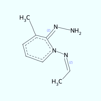 C/C=N\n1cccc(C)/c1=N/N